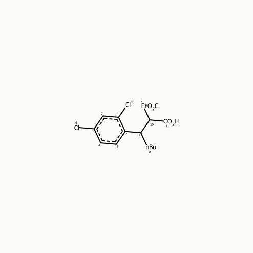 CCCCC(c1ccc(Cl)cc1Cl)C(C(=O)O)C(=O)OCC